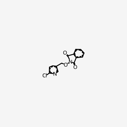 O=C1c2ccccc2C(=O)N1OCc1ccc(Cl)nc1